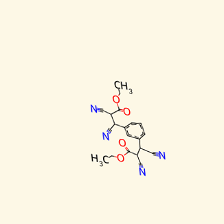 CCOC(=O)C(C#N)C(C#N)c1cccc(C(C#N)C(C#N)C(=O)OCC)c1